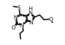 CCCn1c(=O)nc(SC)c2[nH]c(CCOC)nc21